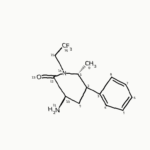 C[C@@H]1C(c2ccccc2)CC(N)C(=O)N1CC(F)(F)F